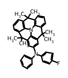 CC1(C)c2cccc3c2N2c4c1cccc4C(C)(C)c1cc(N(c4ccccc4)c4ccc(F)cc4)cc(c12)C3(C)C